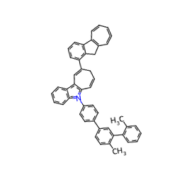 Cc1ccccc1-c1cc(-c2ccc(-n3c4c(c5ccccc53)C=C(c3cccc5c3CC3=C5C=CC=C=C3)CC=C4)cc2)ccc1C